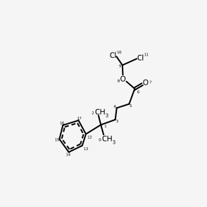 CC(C)(CCCC(=O)OC(Cl)Cl)c1ccccc1